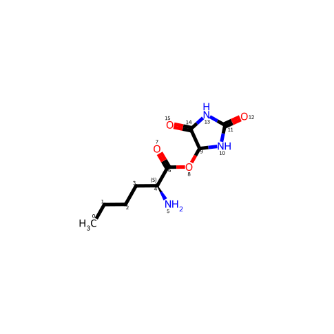 CCCC[C@H](N)C(=O)OC1NC(=O)NC1=O